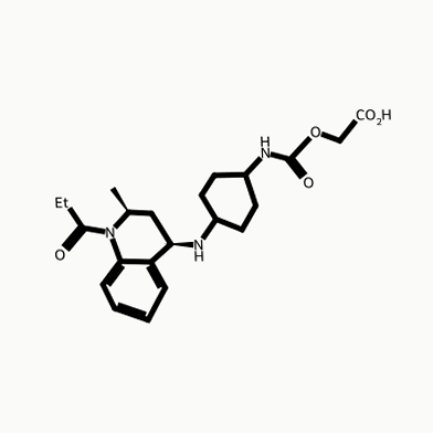 CCC(=O)N1c2ccccc2[C@H](NC2CCC(NC(=O)OCC(=O)O)CC2)C[C@@H]1C